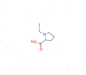 O=C(O)C1CCCN1CI